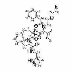 CC[C@H](C)[C@@H](C(=O)NC1CCc2cccc3c2N(C1=O)C(C(=O)NCc1ccn[nH]1)C3)N(CCOCCF)C(=O)Cc1ccccc1